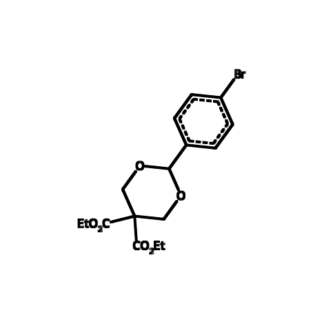 CCOC(=O)C1(C(=O)OCC)COC(c2ccc(Br)cc2)OC1